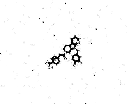 O=C(CC12CCC(C(=O)O)(CC1)C2)N1CCc2c(n(Cc3ccc(Cl)c(F)c3)c3ncccc23)C1